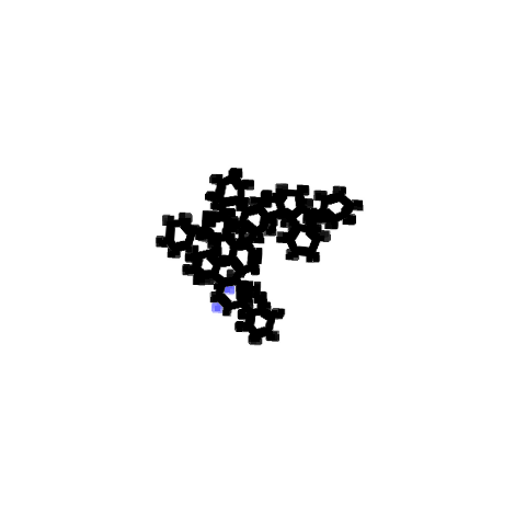 C=C(/C=C\C(=C(/C)c1cnc(-c2ccc3sc4ccc5c(c6ccccc6n5-c5ccccc5)c4c3c2)c(-c2nc(-c3ccccc3)nc(-c3ccccc3)n2)c1)c1ccccc1)c1ccccc1